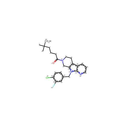 CC(C)(CCCC(=O)N1CCc2c(n(Cc3ccc(Cl)c(F)c3)c3ncccc23)C1)C(=O)O